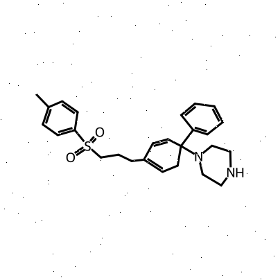 Cc1ccc(S(=O)(=O)CCCC2=CCC(c3ccccc3)(N3CCNCC3)C=C2)cc1